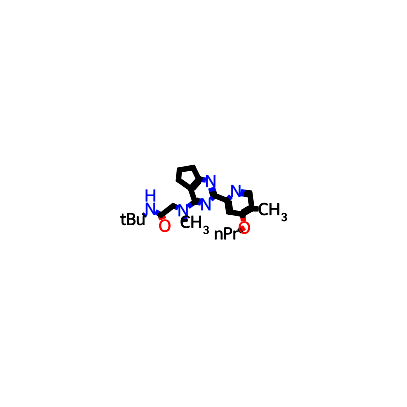 CCCOc1cc(-c2nc3c(c(N(C)CC(=O)NC(C)(C)C)n2)CCC3)ncc1C